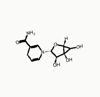 NC(=O)C1=CN([C@@H]2O[C@@H]3C(O)[C@]3(O)[C@H]2O)C=CC1